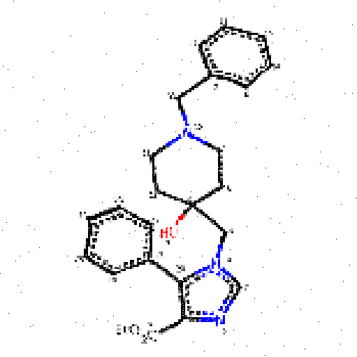 CCOC(=O)c1ncn(CC2(O)CCN(Cc3ccccc3)CC2)c1-c1ccccc1